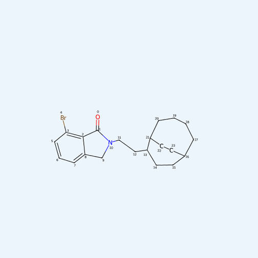 O=C1c2c(Br)cccc2CN1CCC1CCC2CCCCC1CC2